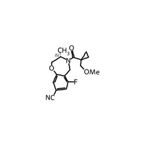 COCC1(C(=O)N2Cc3c(F)cc(C#N)cc3OC[C@@H]2C)CC1